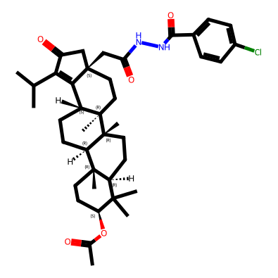 CC(=O)O[C@H]1CC[C@]2(C)[C@H]3CC[C@@H]4C5=C(C(C)C)C(=O)C[C@]5(CC(=O)NNC(=O)c5ccc(Cl)cc5)CC[C@@]4(C)[C@]3(C)CC[C@H]2C1(C)C